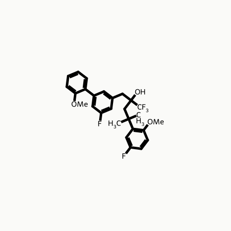 COc1ccccc1-c1cc(F)cc(CC(O)(CC(C)(C)c2cc(F)ccc2OC)C(F)(F)F)c1